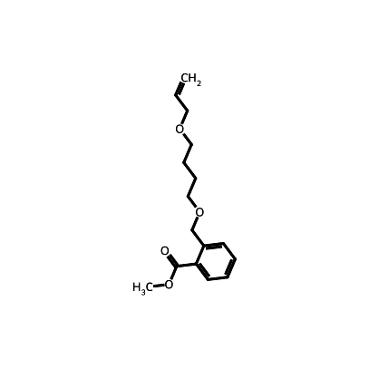 C=CCOCCCCOCc1ccccc1C(=O)OC